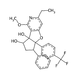 CCc1cc2c(c(OC)n1)C1(O)C(O)CC(c3ccccc3)C1(c1ccc(C(F)(F)F)cc1)O2